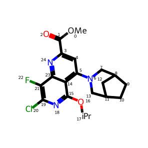 COC(=O)c1cc(N2CC3CCC(C3)C2)c2c(OC(C)C)nc(Cl)c(F)c2n1